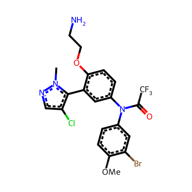 COc1ccc(N(C(=O)C(F)(F)F)c2ccc(OCCN)c(-c3c(Cl)cnn3C)c2)cc1Br